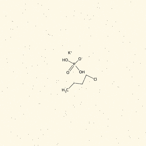 C[CH]CCCl.O=P([O-])(O)O.[K+]